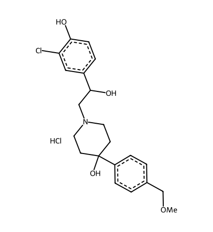 COCc1ccc(C2(O)CCN(CC(O)c3ccc(O)c(Cl)c3)CC2)cc1.Cl